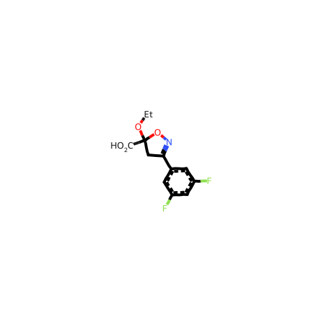 CCOC1(C(=O)O)CC(c2cc(F)cc(F)c2)=NO1